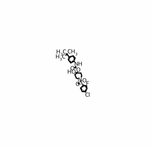 CC(C)(C)c1ccc(NC(=O)OC2(O)CCN(S(=O)(=O)c3ccc(Cl)cc3F)CC2)cc1